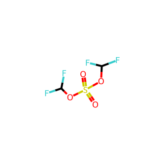 O=S(=O)(OC(F)F)OC(F)F